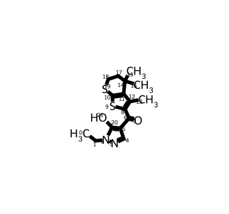 CCn1ncc(C(=O)c2sc3c(c2C)C(C)(C)CCS3)c1O